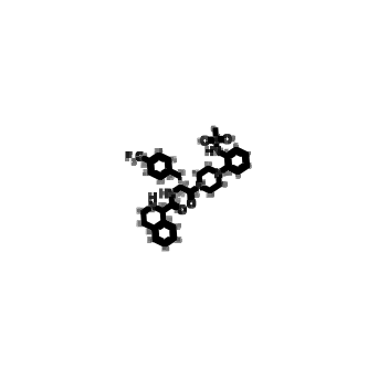 CS(=O)(=O)Nc1ccccc1N1CCN(C(=O)[C@@H](Cc2ccc(C(F)(F)F)cc2)NC(=O)C2N[CH]Cc3ccccc32)CC1